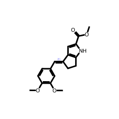 COC(=O)c1cc2c([nH]1)CC/C2=C\c1ccc(OC)c(OC)c1